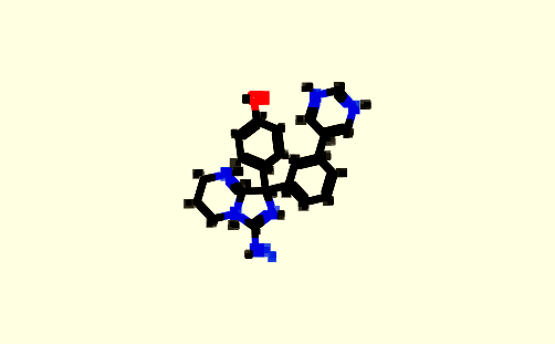 NC1=NC(c2ccc(O)cc2)(c2cccc(-c3cncnc3)c2)C2=NCCCN12